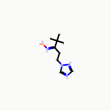 CC(C)(C)C(CCn1cncn1)=NO